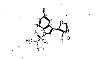 CN(C)S(=O)(=O)n1cc(-c2ocnc2C=O)c2cc(F)cnc21